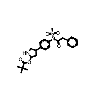 CC(C)(C)C(=O)OC1CC(c2ccc(N(C(=O)Cc3ccccc3)S(C)(=O)=O)cc2)CN1